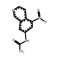 CC(=O)Nc1cc([N+](=O)[O-])c2ccncc2c1